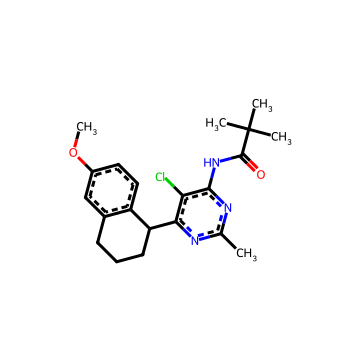 COc1ccc2c(c1)CCCC2c1nc(C)nc(NC(=O)C(C)(C)C)c1Cl